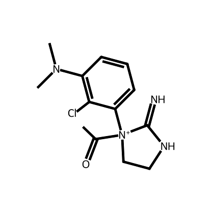 CC(=O)[N+]1(c2cccc(N(C)C)c2Cl)CCNC1=N